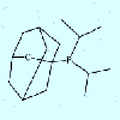 CC(C)P(C(C)C)C12CC3CC(CC(C3)C1)C2